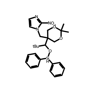 CC1(C)OCC(Cn2ccnc2[N+](=O)[O-])(C(O[SiH](c2ccccc2)c2ccccc2)C(C)(C)C)CO1